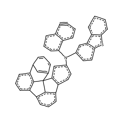 c1ccc2c(N(c3ccc4c(c3)C35C6=CC(C=CC=C6)c6cccc(c63)-c3cccc-4c35)c3ccc4sc5ccccc5c4c3)cccc2c#1